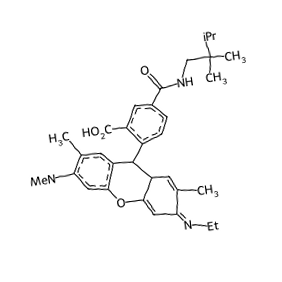 CC/N=C1/C=C2Oc3cc(NC)c(C)cc3C(c3ccc(C(=O)NCC(C)(C)C(C)C)cc3C(=O)O)C2C=C1C